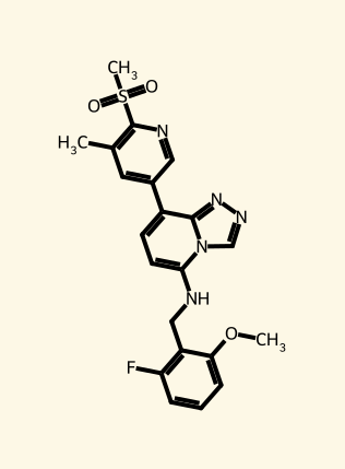 COc1cccc(F)c1CNc1ccc(-c2cnc(S(C)(=O)=O)c(C)c2)c2nncn12